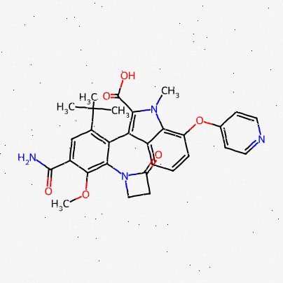 COc1c(C(N)=O)cc(C(C)(C)C)c(-c2c(C(=O)O)n(C)c3c(Oc4ccncc4)cccc23)c1N1CCC1=O